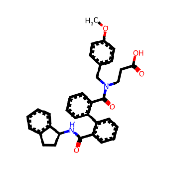 COc1ccc(CN(CCC(=O)O)C(=O)c2ccccc2-c2ccccc2C(=O)NC2CCc3ccccc32)cc1